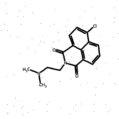 CN(C)CCN1C(=O)c2cccc3c(Cl)ccc(c23)C1=O